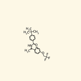 C[C@@H](NC(=O)c1ccc(C(C)(C)C)cc1)c1ccc(OCC(F)(F)F)cn1